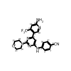 N#Cc1ccc(Nc2cc(-c3cnc(N)cc3C(F)(F)F)nc(N3CCOCC3)n2)cc1